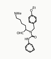 CCOc1ccc(CN(C(=O)Nc2ccccc2)C(C=O)CCCCNC)cc1